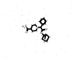 NC(=O)C1CCN(C(C(=O)OC2CN3CCC2CC3)c2ccccc2)CC1